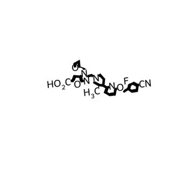 C[C@@H]1CN(Cc2nc3oc(C(=O)O)cc3n2C[C@@H]2CCO2)CCC1c1cccc(OCc2ccc(C#N)cc2F)n1